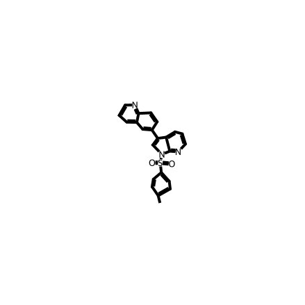 Cc1ccc(S(=O)(=O)n2cc(-c3ccc4ncccc4c3)c3cccnc32)cc1